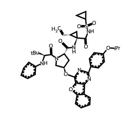 C=C[C@@H]1C[C@]1(NC(=O)[C@@H]1C[C@@H](Oc2nc(-c3ccc(OC(C)C)cc3)nc3c2oc2ccccc23)CN1C(=O)[C@@H](Nc1ccccc1)C(C)(C)C)C(=O)NS(=O)(=O)C1CC1